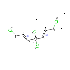 ClC/C=C/[Si](Cl)(Cl)/C=C/CCl